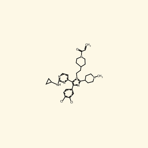 C=CC(=O)N1CCC(CCn2c(C3CCN(C)CC3)nc(-c3ccc(Cl)c(Cl)c3)c2-c2ccnc(NC3CC3)n2)CC1